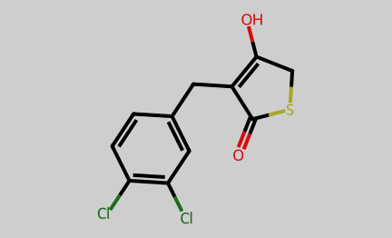 O=C1SCC(O)=C1Cc1ccc(Cl)c(Cl)c1